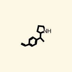 C=Cc1ccc(C(C)C2CCCN2)cc1